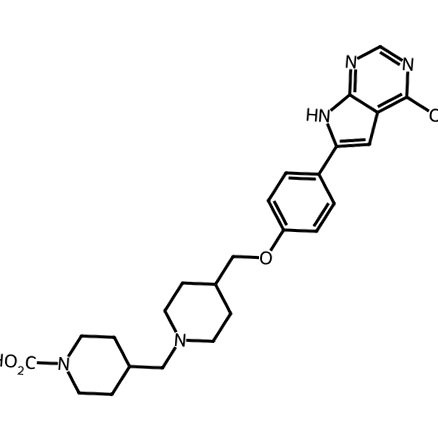 O=C(O)N1CCC(CN2CCC(COc3ccc(-c4cc5c(Cl)ncnc5[nH]4)cc3)CC2)CC1